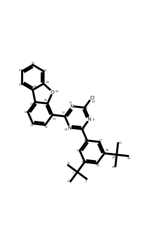 CC(C)(C)c1cc(-c2nc(Cl)nc(-c3cccc4c3oc3ccccc34)n2)cc(C(C)(C)C)c1